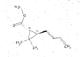 C=CC=C[C@@H]1[C@@H](C(=O)OC)C1(C)C